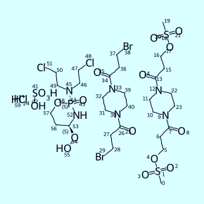 CS(=O)(=O)OCCC(=O)N1CCN(C(=O)CCOS(C)(=O)=O)CC1.Cl.O=C(CCBr)N1CCN(C(=O)CCBr)CC1.O=S(=O)(O)O.O=[P@@]1(N(CCCl)CCCl)N[C@@H](OO)CCO1.[H+]